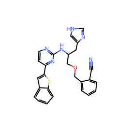 N#Cc1ccccc1COCC(Cc1c[nH]cn1)Nc1nccc(-c2cc3ccccc3s2)n1